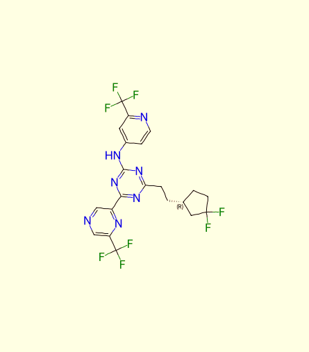 FC1(F)CC[C@@H](CCc2nc(Nc3ccnc(C(F)(F)F)c3)nc(-c3cncc(C(F)(F)F)n3)n2)C1